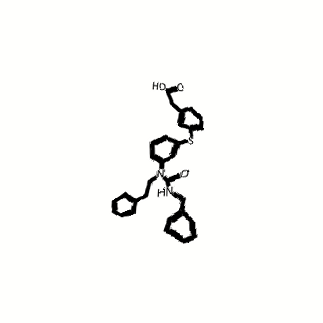 O=C(O)Cc1cccc(Sc2cccc(N(CCc3ccccc3)C(=O)NCc3ccccc3)c2)c1